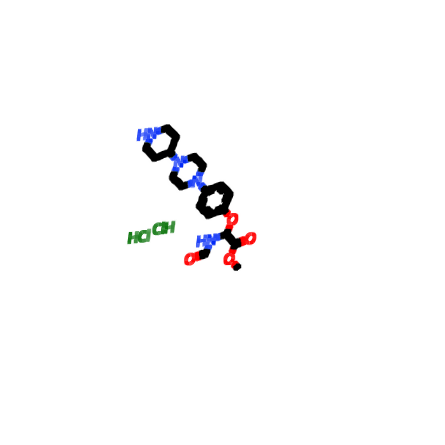 COC(=O)C(NC=O)Oc1ccc(N2CCN(C3CCNCC3)CC2)cc1.Cl.Cl